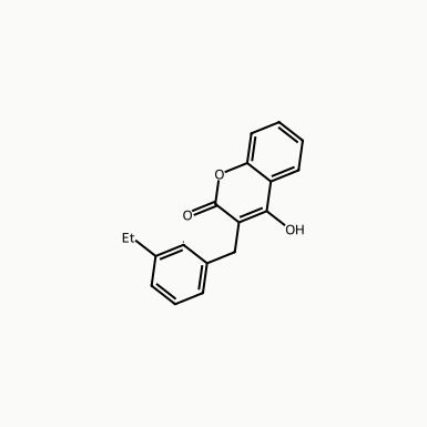 CCc1[c]c(Cc2c(O)c3ccccc3oc2=O)ccc1